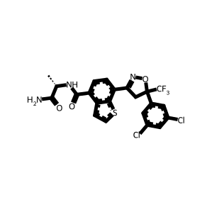 C[C@H](NC(=O)c1ccc(C2=NOC(c3cc(Cl)cc(Cl)c3)(C(F)(F)F)C2)c2sccc12)C(N)=O